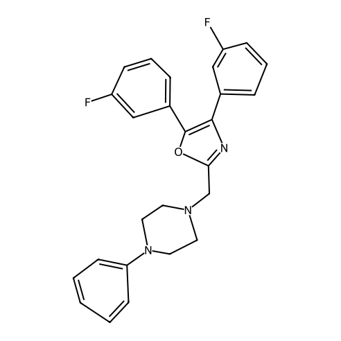 Fc1cccc(-c2nc(CN3CCN(c4ccccc4)CC3)oc2-c2cccc(F)c2)c1